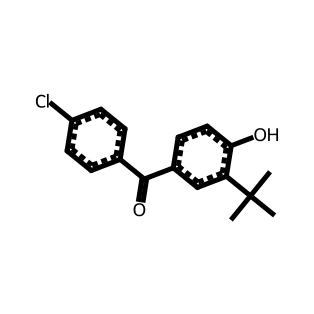 CC(C)(C)c1cc(C(=O)c2ccc(Cl)cc2)ccc1O